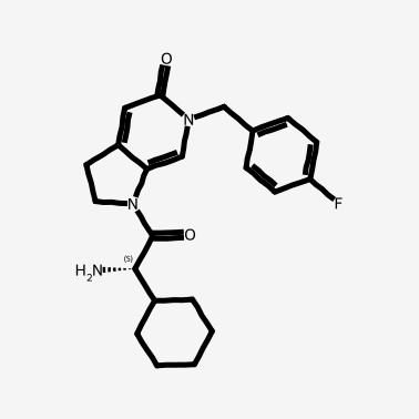 N[C@H](C(=O)N1CCc2cc(=O)n(Cc3ccc(F)cc3)cc21)C1CCCCC1